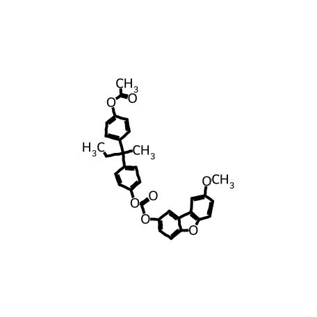 CCC(C)(c1ccc(OC(C)=O)cc1)c1ccc(OC(=O)Oc2ccc3oc4ccc(OC)cc4c3c2)cc1